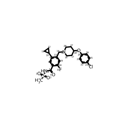 CS(=O)(=O)NC(=O)c1cc(C2CC2)c(CN2CCC(Oc3ccc(Cl)cc3)CC2)cc1F